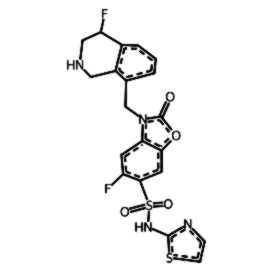 O=c1oc2cc(S(=O)(=O)Nc3nccs3)c(F)cc2n1Cc1cccc2c1CNCC2F